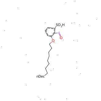 CCCCCCCCCCCCCCCCCCOc1cccc(S(=O)(=O)O)c1I=O